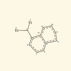 [CH2]CC(CC)c1cccc2ccccc12